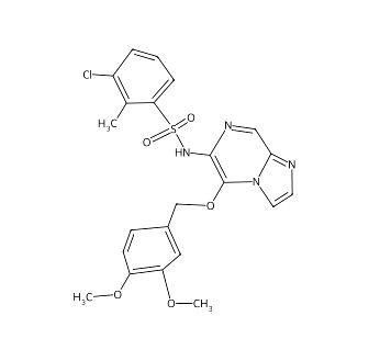 COc1ccc(COc2c(NS(=O)(=O)c3cccc(Cl)c3C)ncc3nccn23)cc1OC